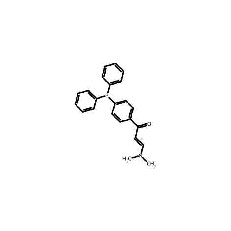 CN(C)/C=C/C(=O)c1ccc(P(c2ccccc2)c2ccccc2)cc1